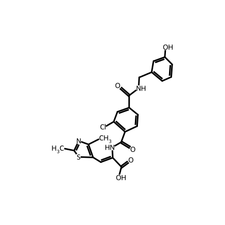 Cc1nc(C)c(C=C(NC(=O)c2ccc(C(=O)NCc3cccc(O)c3)cc2Cl)C(=O)O)s1